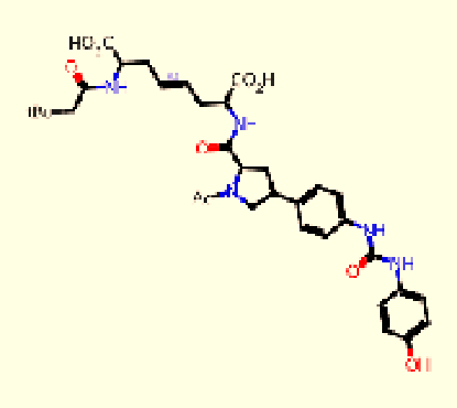 CC(=O)N1CC(c2ccc(NC(=O)Nc3ccc(O)cc3)cc2)CC1C(=O)NC(C/C=C/CC(NC(=O)CC(C)(C)C)C(=O)O)C(=O)O